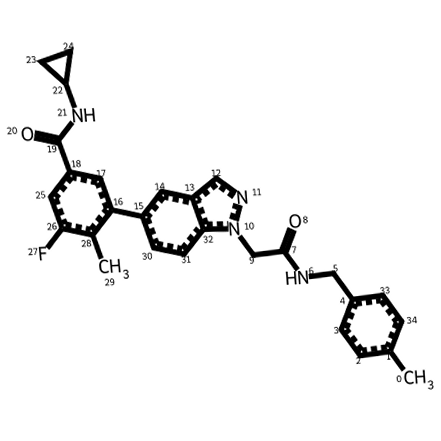 Cc1ccc(CNC(=O)Cn2ncc3cc(-c4cc(C(=O)NC5CC5)cc(F)c4C)ccc32)cc1